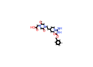 N=C(NC(=O)OCc1ccccc1)N1CCC(CCN2CC(=O)N(CC(=O)O)CC2=O)CC1